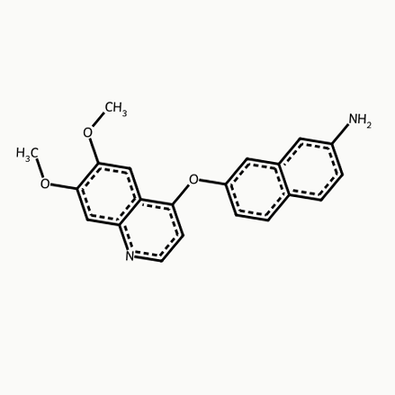 COc1cc2nccc(Oc3ccc4ccc(N)cc4c3)c2cc1OC